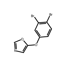 Brc1ccc(Oc2cn[c]o2)cc1Br